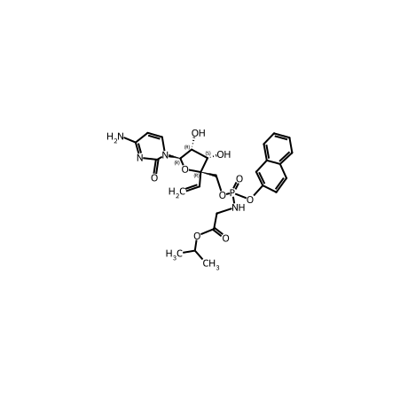 C=C[C@]1(COP(=O)(NCC(=O)OC(C)C)Oc2ccc3ccccc3c2)O[C@@H](n2ccc(N)nc2=O)[C@H](O)[C@@H]1O